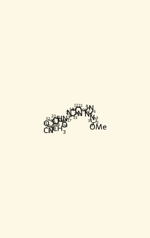 CO[C@@H]1CCN(c2cncc(-c3ccc4cnc(CNC(=O)c5ccc6c(c5)[C@@](C)(C#N)COC6)cc4n3)n2)C1